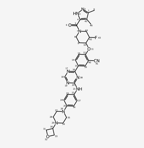 Cc1n[nH]c(C(=O)N2CCC(Oc3ccc(-c4ncnc(Nc5ccc(N6CCN(C7COC7)CC6)cc5)n4)cc3C#N)C(F)C2)c1C